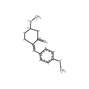 COc1ccc(/C=C2/CCC(OC)CC2=O)cc1